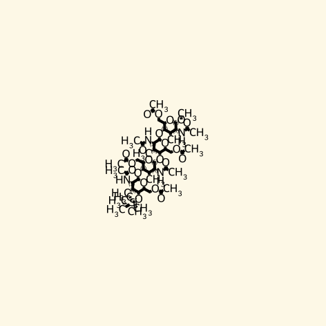 CO[C@H]1OC(COC(C)=O)[C@H](OC2OC(COC(C)=O)C(O[C@H]3OC(COC(C)=O)[C@H](OC4OC(COC(C)=O)C(O[Si](C)(C)C(C)(C)C)[C@H](C)[C@@H]4NC(C)=O)C(C)[C@H]3NC(C)=O)[C@H](C)[C@@H]2NC(C)=O)C(C)[C@H]1NC(C)=O